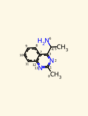 Cc1nc(C(C)N)c2ccccc2n1